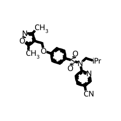 Cc1noc(C)c1COc1ccc(S(=O)(=O)N(CC(C)C)c2ccc(C#N)cn2)cc1